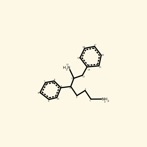 NCCCC(c1ccccc1)C(N)Cc1ccccc1